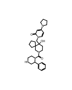 O=C(N1CCC(O)(Cn2ccc(N3CCCC3)cc2=O)C2(CCCC2)C1)N1CCNCC1c1ccccc1